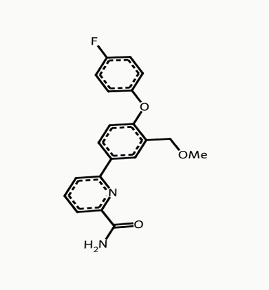 COCc1cc(-c2cccc(C(N)=O)n2)ccc1Oc1ccc(F)cc1